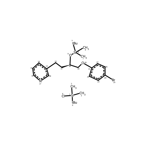 CC(C)(C)[Si](C)(C)Cl.CC(C)(C)[Si](C)(C)O[C@H](CCc1cccnc1)COc1ccc(Br)cc1